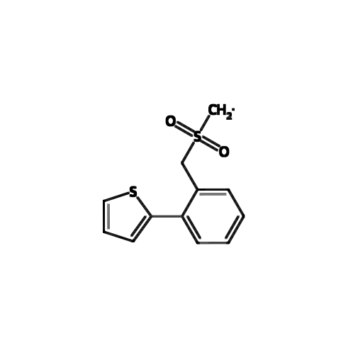 [CH2]S(=O)(=O)Cc1ccccc1-c1cccs1